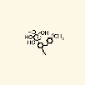 COc1ccc(Cc2cc([C@@H]3O[C@H](CO)[C@@H](O)[C@H](O)[C@H]3O)ccc2C#N)cc1